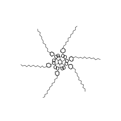 CCCCCCCCCCCCc1ccc(OC(=O)c2c(C(=O)Oc3ccc(CCCCCCCCCCCC)cc3)c(C(=O)Oc3ccc(CCCCCCCCCCCC)cc3)c(C(=O)Oc3ccc(CCCCCCCCCCCC)cc3)c(C(=O)Oc3ccc(CCCCCCCCCCCC)cc3)c2C(=O)Oc2ccc(CCCCCCCCCCCC)cc2)cc1